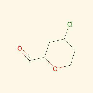 O=[C]C1CC(Cl)CCO1